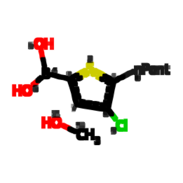 CCCCCc1sc(B(O)O)cc1Cl.CO